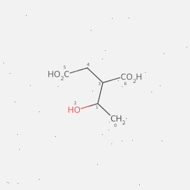 [CH2]C(O)C(CC(=O)O)C(=O)O